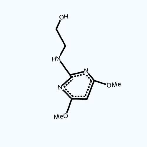 COc1cc(OC)nc(NCCO)n1